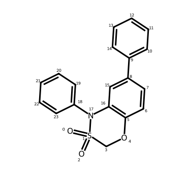 O=S1(=O)COc2ccc(-c3ccccc3)cc2N1c1ccccc1